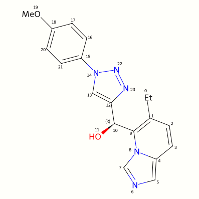 CCc1ccc2cncn2c1[C@@H](O)c1cn(-c2ccc(OC)cc2)nn1